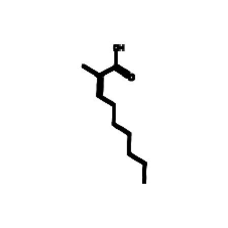 CCCCCC/C=C(/C)C(=O)O